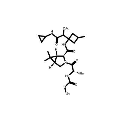 CC(=O)OC(C(=O)NC1CC1)C1(NC(=O)[C@@H]2[C@@H]3[C@H](CN2C(=O)[C@@H](NC(=O)OC(C)(C)C)C(C)(C)C)C3(C)C)CC(C)C1